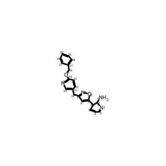 NC1N=CC=CC1c1cc(Cc2ccc(OCc3ccccc3)nc2)no1